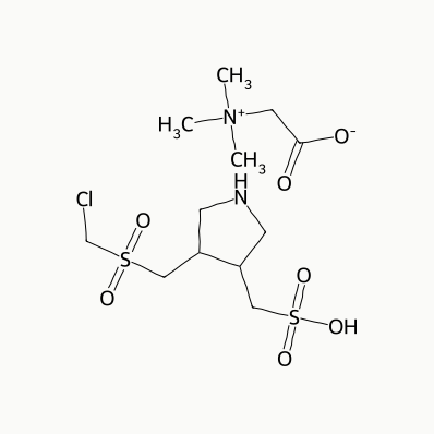 C[N+](C)(C)CC(=O)[O-].O=S(=O)(O)CC1CNCC1CS(=O)(=O)CCl